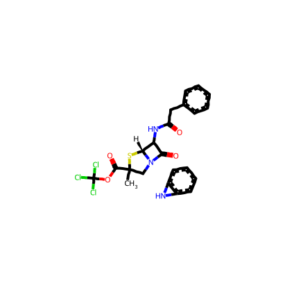 CC1(C(=O)OC(Cl)(Cl)Cl)CN2C(=O)C(NC(=O)Cc3ccccc3)[C@H]2S1.c1ccc2c(c1)N2